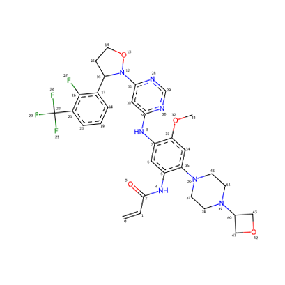 C=CC(=O)Nc1cc(Nc2cc(N3OCCC3c3cccc(C(F)(F)F)c3F)ncn2)c(OC)cc1N1CCN(C2COC2)CC1